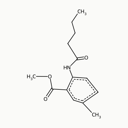 CCCCC(=O)Nc1ccc(C)cc1C(=O)OC